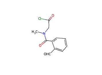 CN(CC(=O)Cl)C(=O)c1ccccc1C=O